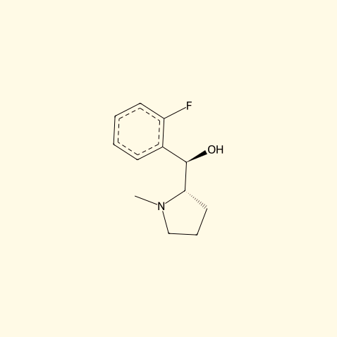 CN1CCC[C@H]1[C@H](O)c1ccccc1F